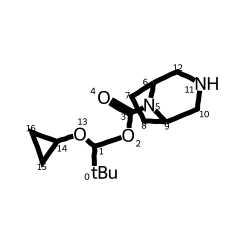 CC(C)(C)C(OC(=O)N1C2CCC1CNC2)OC1CC1